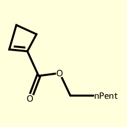 CCCCCCOC(=O)C1=CCC1